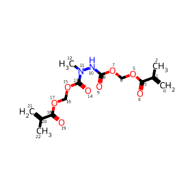 C=C(C)C(=O)OCOC(=O)NN(C)C(=O)OCOC(=O)C(=C)C